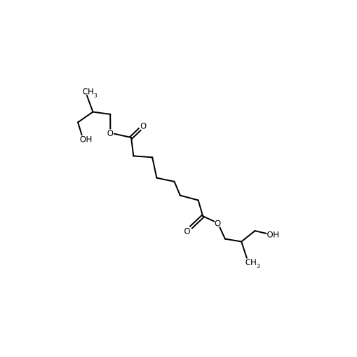 CC(CO)COC(=O)CCCCCCC(=O)OCC(C)CO